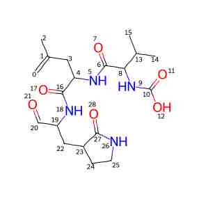 C=C(C)CC(NC(=O)C(NC(=O)O)C(C)C)C(=O)NC(C=O)CC1CCNC1=O